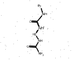 CC(C)NC(=O)NBNC(N)=O